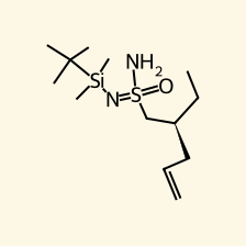 C=CC[C@H](CC)CS(N)(=O)=N[Si](C)(C)C(C)(C)C